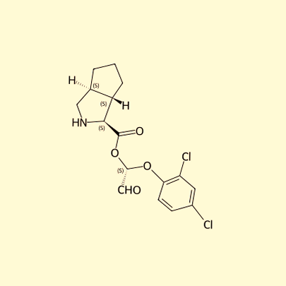 O=C[C@H](OC(=O)[C@H]1NC[C@H]2CCC[C@@H]21)Oc1ccc(Cl)cc1Cl